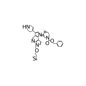 C[C@@H]1CCN(C(=O)OCc2ccccc2)C[C@@H]1n1cc(C2=CCNCC2)c2cnc3c(ccn3COCC[Si](C)(C)C)c21